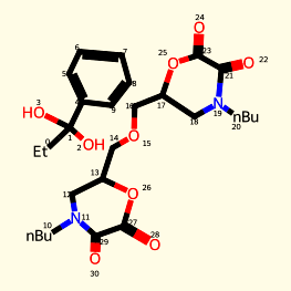 CCC(O)(O)c1ccccc1.CCCCN1CC(COCC2CN(CCCC)C(=O)C(=O)O2)OC(=O)C1=O